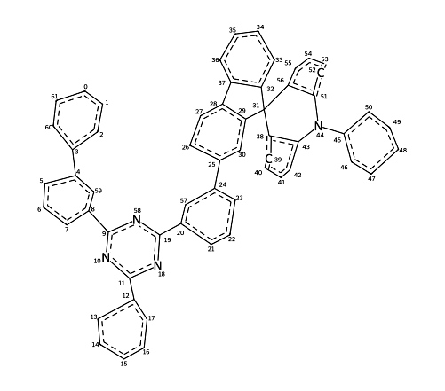 c1ccc(-c2cccc(-c3nc(-c4ccccc4)nc(-c4cccc(-c5ccc6c(c5)C5(c7ccccc7-6)c6ccccc6N(c6ccccc6)c6ccccc65)c4)n3)c2)cc1